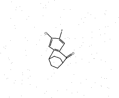 O=C1c2cc(F)c(Cl)cc2C2CCC1CC2